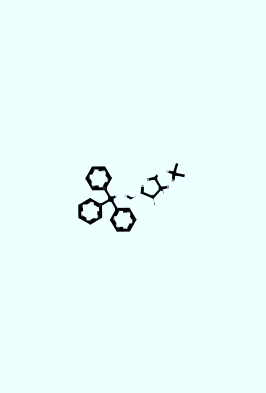 CC1(C)OC2O[C@H](COC(c3ccccc3)(c3ccccc3)c3ccccc3)[C@H](O)[C@H]2O1